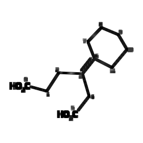 O=C(O)CCC(CC(=O)O)=C1CCCCC1